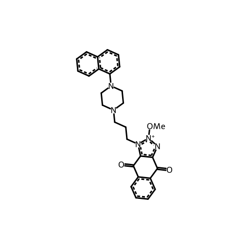 CO[n+]1nc2c(n1CCCN1CCN(c3cccc4ccccc34)CC1)C(=O)c1ccccc1C2=O